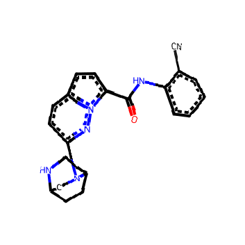 N#Cc1ccccc1NC(=O)c1ccc2ccc(N3CC4CCC3CN4)nn12